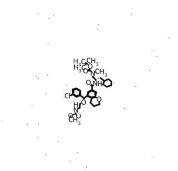 COC(=O)NCCOC(c1cccc(Cl)c1)c1cc(C(=O)N[C@@H](CC2CCCCC2)CN(C)C(=O)OC(C)(C)C)cc2c1CCCO2